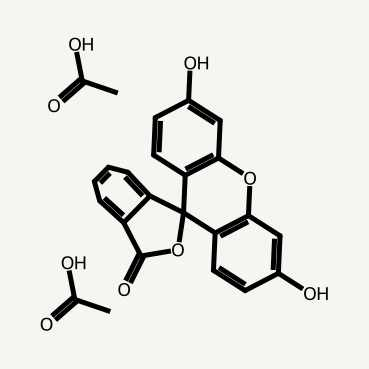 CC(=O)O.CC(=O)O.O=C1OC2(c3ccc(O)cc3Oc3cc(O)ccc32)c2ccccc21